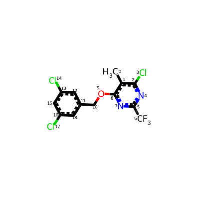 Cc1c(Cl)nc(C(F)(F)F)nc1OCc1cc(Cl)cc(Cl)c1